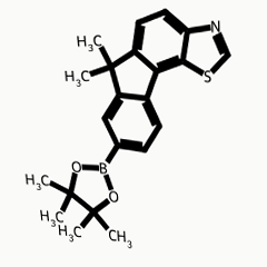 CC1(C)c2cc(B3OC(C)(C)C(C)(C)O3)ccc2-c2c1ccc1ncsc21